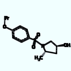 CC(C)Oc1ccc(S(=O)(=O)N2C[C@@H](O)C[C@@H]2C)cc1